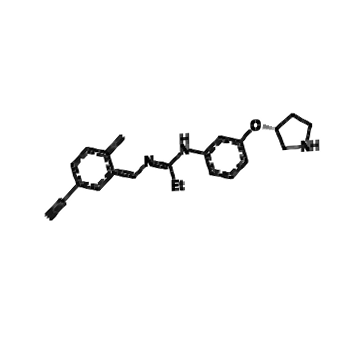 C#Cc1ccc(=C)/c(=C\N=C(/CC)Nc2cccc(O[C@@H]3CCNC3)c2)c1